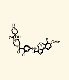 COc1ccc(-c2cnc(C(=O)Nc3ccc(C(=O)N4CCN(C(=O)C5(O)CCNCC5)CC4)c(Cl)c3)n2C)c(Cl)c1F